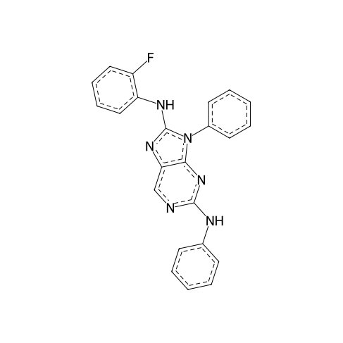 Fc1ccccc1Nc1nc2cnc(Nc3ccccc3)nc2n1-c1ccccc1